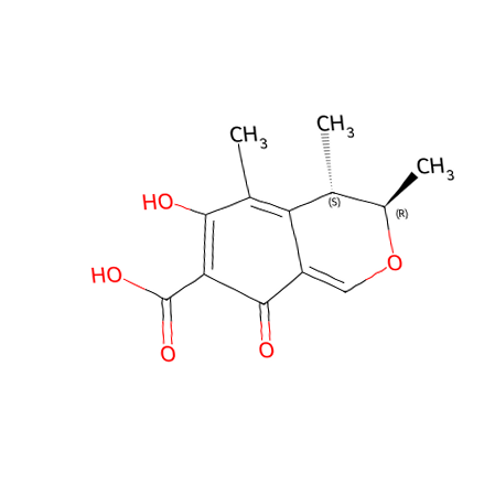 CC1=C2C(=CO[C@H](C)[C@H]2C)C(=O)C(C(=O)O)=C1O